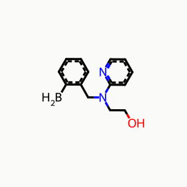 Bc1ccccc1CN(CCO)c1ccccn1